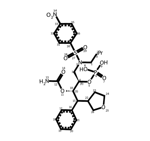 CC(C)CN(C[C@@H](OP(=O)(O)O)[C@@H](OC(N)=O)C(c1ccccc1)C1CCOC1)S(=O)(=O)c1ccc([N+](=O)[O-])cc1